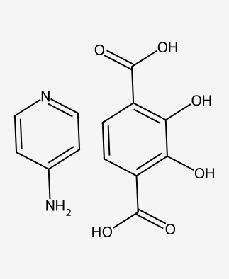 Nc1ccncc1.O=C(O)c1ccc(C(=O)O)c(O)c1O